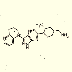 C[C@@H]1C[C@@H](CN)CCN1c1cnc2c(N3CCCc4ncccc43)n[nH]c2n1